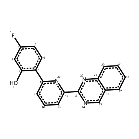 Oc1cc(F)ccc1-c1cccc(-c2ncc3ccccc3n2)n1